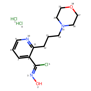 Cl.Cl.ON=C(Cl)c1cccnc1CCCN1CCOCC1